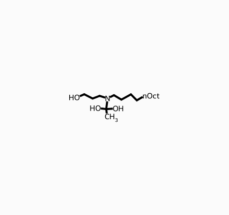 CCCCCCCCCCCCN(CCCO)C(C)(O)O